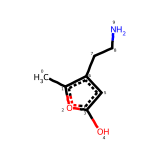 Cc1oc(O)cc1CCN